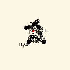 COc1ccc(S(=O)(=O)C2CC(ONC[C@@H](O)[C@H](Cc3ccccc3)NC(=O)O[C@H]3CCOC3)CCO2)cc1.COc1ccc(S(=O)(=O)N(CC(O)C(Cc2ccccc2)NC(=O)OC(C)(C)C)OC2CCOCC2)cc1